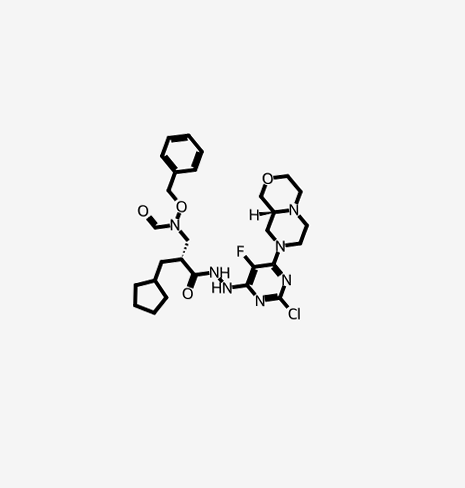 O=CN(C[C@@H](CC1CCCC1)C(=O)NNc1nc(Cl)nc(N2CCN3CCOC[C@H]3C2)c1F)OCc1ccccc1